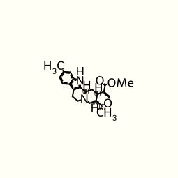 COC(=O)C1=CO[C@@H](C)[C@H]2CN3CCc4c([nH]c5cc(C)ccc45)[C@@H]3C[C@H]12